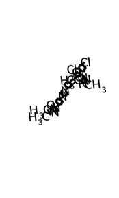 CCC(C)n1ncn(-c2ccc(N3CCN(c4ccc(OC[C@@H]5CO[C@@](Cn6nc(C)nc6C)(c6ccc(Cl)cc6Cl)O5)cc4)CC3)cc2)c1=O